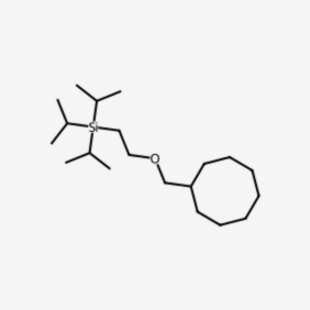 CC(C)[Si](CCOCC1CCCCCCC1)(C(C)C)C(C)C